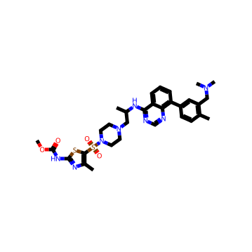 COC(=O)Nc1nc(C)c(S(=O)(=O)N2CCN(CC(C)Nc3ncnc4c(-c5ccc(C)c(CN(C)C)c5)cccc34)CC2)s1